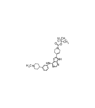 CN1CCC(c2cccc(Nc3ncnc4[nH]c(C5=CCN(C(=O)OC(C)(C)C)CC5)cc34)c2)CC1